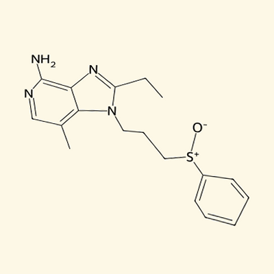 CCc1nc2c(N)ncc(C)c2n1CCC[S+]([O-])c1ccccc1